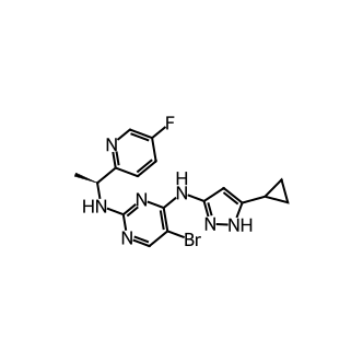 C[C@H](Nc1ncc(Br)c(Nc2cc(C3CC3)[nH]n2)n1)c1ccc(F)cn1